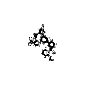 CCC[C@@H]1CCCCN1C(=O)c1cccc(-c2cccc(-n3ccc(C(=O)O)c3[C@@H]3C[C@H]3c3cn(C)nn3)c2)c1